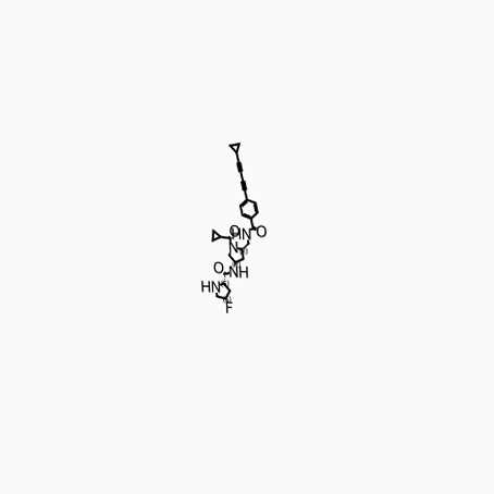 O=C(NC[C@H]1C[C@@H](NC(=O)[C@@H]2C[C@H](F)CN2)CN1C(=O)C1CC1)c1ccc(C#CC#CC2CC2)cc1